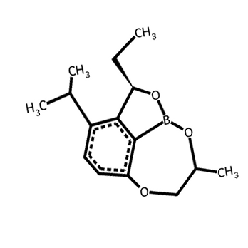 CC[C@H]1OB2OC(C)COc3ccc(C(C)C)c1c32